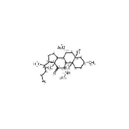 CC(=O)CC[C@@H](C)C1CCC2C3C([C@H](NC(C)C)C(=O)[C@@]21C)[C@@]1(C)CC[C@@H](C)C[C@H]1C[C@H]3OC(C)=O